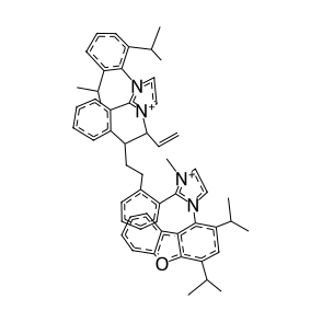 C=CC1C(CCc2ccccc2-c2n(-c3c(C(C)C)cc(C(C)C)c4oc5ccccc5c34)cc[n+]2C)c2ccccc2-c2n(-c3c(C(C)C)cccc3C(C)C)cc[n+]21